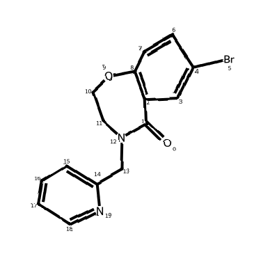 O=C1c2cc(Br)ccc2OCCN1Cc1ccccn1